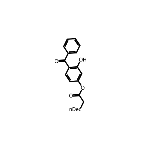 CCCCCCCCCCCC(=O)Oc1ccc(C(=O)c2ccccc2)c(O)c1